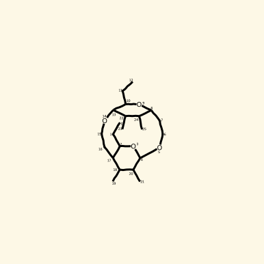 CCC1OC2OCCC3OC(CC)C(OCCC1C(C)C2C)C(C)C3C